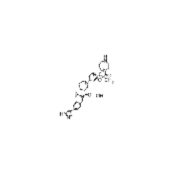 CC(C)(Oc1cccc(N2CCC[C@@H](C(=O)N(Cc3ccc(-c4cn[nH]c4)cc3)C3CC3)C2)c1)C(=O)N1CCCNCC1.Cl